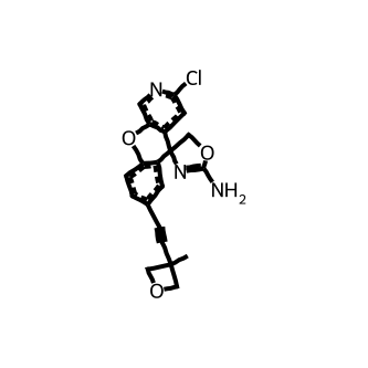 CC1(C#Cc2ccc3c(c2)C2(COC(N)=N2)c2cc(Cl)ncc2O3)COC1